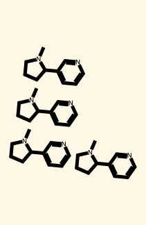 CN1CCCC1c1cccnc1.CN1CCCC1c1cccnc1.CN1CCCC1c1cccnc1.CN1CCCC1c1cccnc1